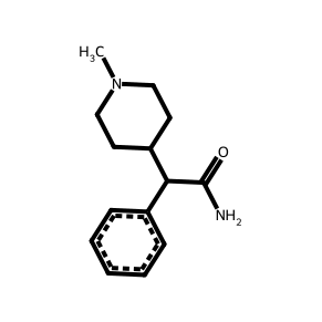 CN1CCC(C(C(N)=O)c2ccccc2)CC1